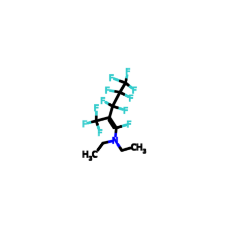 CCN(CC)C(F)=C(C(F)(F)F)C(F)(F)C(F)(F)C(F)(F)F